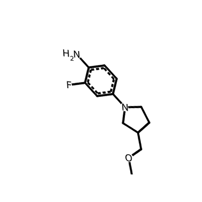 COCC1CCN(c2ccc(N)c(F)c2)C1